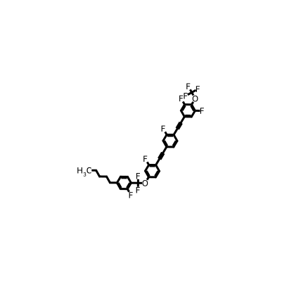 CCCCCc1ccc(C(F)(F)Oc2ccc(C#Cc3ccc(C#Cc4cc(F)c(OC(F)(F)F)c(F)c4)c(F)c3)c(F)c2)c(F)c1